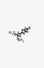 CSC1=C(SC)SC(=C2Sc3sc(=S)sc3S2)S1